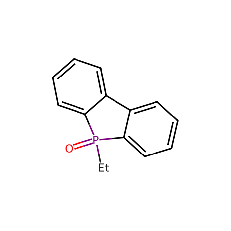 CCP1(=O)c2ccccc2-c2ccccc21